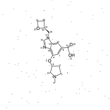 CN1CCC(Oc2cc(C(=O)O)cc3c2ncn3C[C@@H]2CCO2)C1